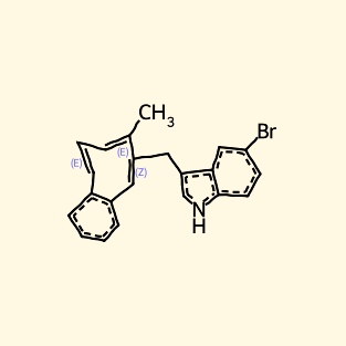 CC1=C\C=C\c2ccccc2/C=C\1Cc1c[nH]c2ccc(Br)cc12